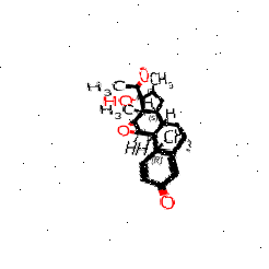 CC(=O)[C@@]1(O)[C@@H](C)C[C@H]2[C@@H]3CCC4=CC(=O)C=C[C@]4(C)[C@H]3[C@H]3OC3[C@@]21C